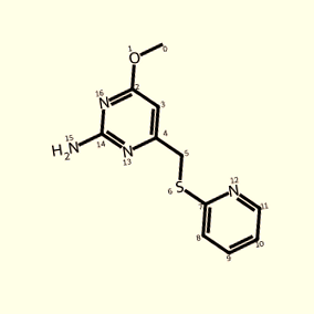 COc1cc(CSc2ccccn2)nc(N)n1